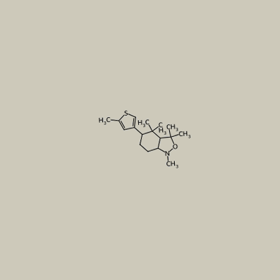 Cc1cc(C2CCC3C(C(C)(C)ON3C)C2(C)C)cs1